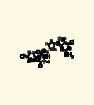 COC(=O)[C@H](C)NP(=O)(OC[C@@H]1C=C[C@H](n2cnc3c(Cl)nc(N)nc32)C1)Oc1ccc(Cl)cc1